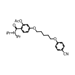 CC(=O)Oc1cc(OCCCCCOc2ccc(C#N)cc2)ccc1C(=O)N(C(C)C)C(C)C